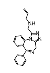 C=CCNCc1nnc2n1-c1ccccc1C(c1ccccc1)=NC2